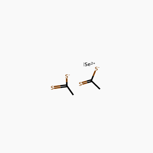 CC(=S)[S-].CC(=S)[S-].[Se+2]